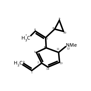 C=CC1=CC(/C(=C\C)C2CC2)C(NC)C=C1